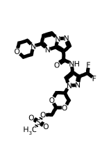 CS(=O)(=O)OCC1OCC(n2cc(NC(=O)c3cnn4ccc(N5CCOCC5)nc34)c(C(F)F)n2)CO1